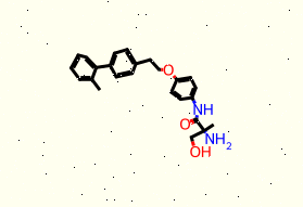 Cc1ccccc1-c1ccc(CCOc2ccc(NC(=O)C(C)(N)CO)cc2)cc1